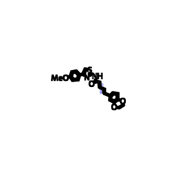 COc1ccc(-c2csc(NC(=O)/C=C/C=C/c3ccc4c(c3)OCCO4)n2)cc1